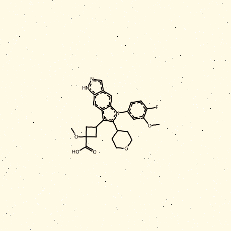 COc1cc(-n2c(C3CCOCC3)c(C3CC(OC)(C(=O)O)C3)c3cc4[nH]ncc4cc32)ccc1F